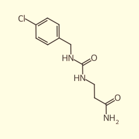 NC(=O)CCNC(=O)NCc1ccc(Cl)cc1